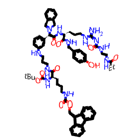 CCC(=O)NCCNC(=O)/N=C(/N)NCCC[C@@H](NC(=O)[C@H](c1cccc(NCCCNC(=O)[C@@H](CCCCNC(=O)OCC2c3ccccc3-c3ccccc32)NC(=O)OC(C)(C)C)c1)N1Cc2ccccc2C1)C(=O)NCc1ccc(O)cc1